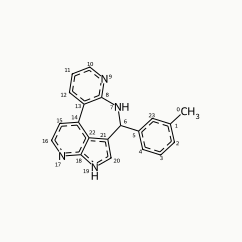 Cc1cccc(C2Nc3ncccc3-c3ccnc4[nH]cc2c34)c1